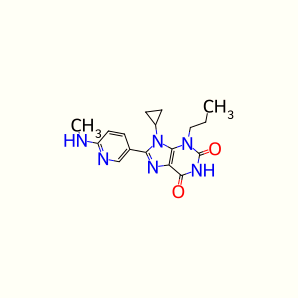 CCCn1c(=O)[nH]c(=O)c2nc(-c3ccc(NC)nc3)n(C3CC3)c21